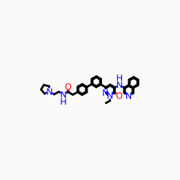 CCn1nc(-c2cccc(-c3ccc(CC(=O)NCCN4CCCC4)cc3)c2)cc(Nc2cncc3ccccc23)c1=O